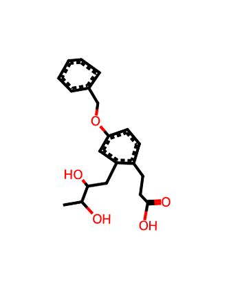 CC(O)C(O)Cc1cc(OCc2ccccc2)ccc1CCC(=O)O